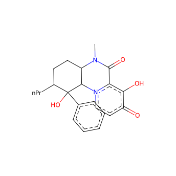 CCCC1CCC2C(n3ccc(=O)c(O)c3C(=O)N2C)C1(O)c1ccccc1